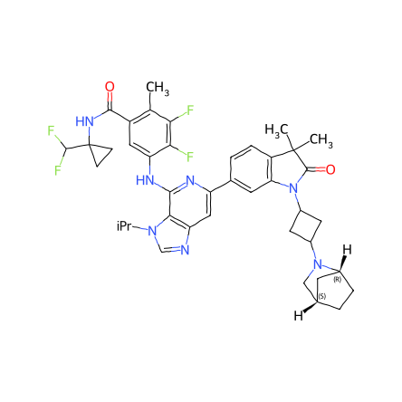 Cc1c(C(=O)NC2(C(F)F)CC2)cc(Nc2nc(-c3ccc4c(c3)N(C3CC(N5C[C@H]6CC[C@@H]5C6)C3)C(=O)C4(C)C)cc3ncn(C(C)C)c23)c(F)c1F